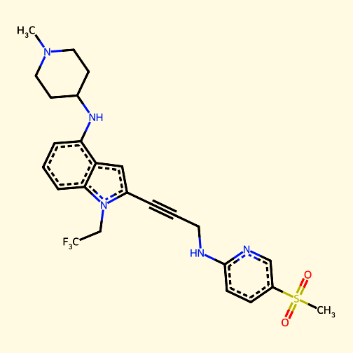 CN1CCC(Nc2cccc3c2cc(C#CCNc2ccc(S(C)(=O)=O)cn2)n3CC(F)(F)F)CC1